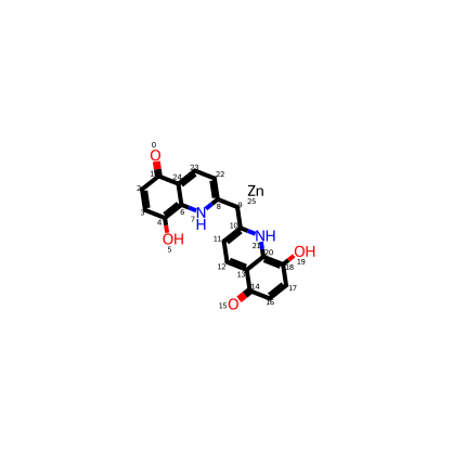 O=c1ccc(O)c2[nH]c(Cc3ccc4c(=O)ccc(O)c-4[nH]3)ccc1-2.[Zn]